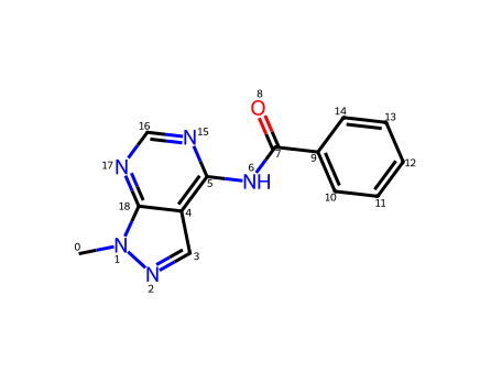 Cn1ncc2c(NC(=O)c3ccccc3)ncnc21